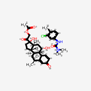 CC(=O)OCC(=O)[C@@]1(O)CC[C@H]2[C@@H]3C[C@H](C)C4=CC(=O)C=C[C@]4(C)[C@H]3[C@@H](O)C[C@@]21C.Cc1ccc(NC(=O)N(C)C)cc1Cl